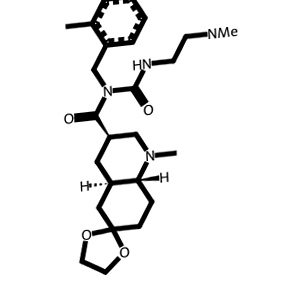 CNCCNC(=O)N(Cc1ccccc1C)C(=O)[C@@H]1C[C@@H]2CC3(CC[C@H]2N(C)C1)OCCO3